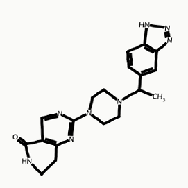 CC(c1ccc2[nH]nnc2c1)N1CCN(c2ncc3c(n2)CCNC3=O)CC1